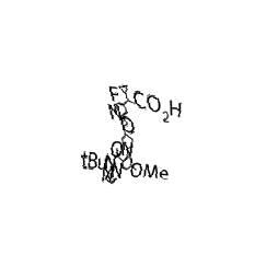 COc1ccc(C(=O)N(CC(C)(C)C)c2ncccn2)c(N2CCC(COc3cc(C(CC(=O)O)C4CC4)c(F)cn3)CC2)c1